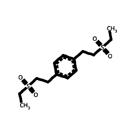 CCS(=O)(=O)CCc1ccc(CCS(=O)(=O)CC)cc1